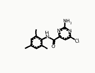 Cc1cc(C)c(NC(=O)c2cc(Cl)nc(N)n2)c(C)c1